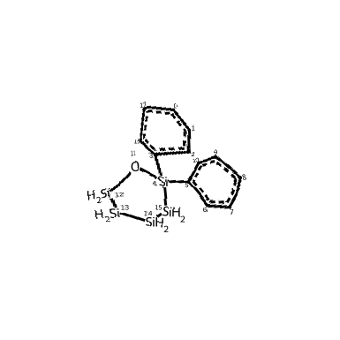 c1ccc([Si]2(c3ccccc3)O[SiH2][SiH2][SiH2][SiH2]2)cc1